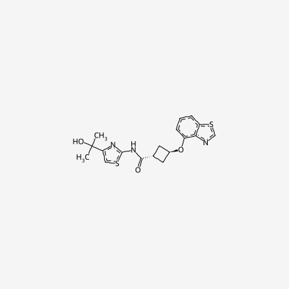 CC(C)(O)c1csc(NC(=O)[C@H]2C[C@H](Oc3cccc4scnc34)C2)n1